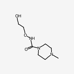 CN1CCN(C(=O)NOCCO)CC1